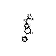 N=C(N)Nc1nc2c(s1)C[C@@H](c1cccs1)NC2